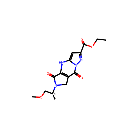 CCOC(=O)c1cc2[nH]c3c(c(=O)n2n1)CN([C@@H](C)COC)C3=O